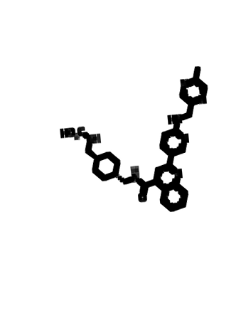 Cc1cnc(CNc2ccc(-c3cc(C(=O)NC[C@H]4CC[C@H](CNC(=O)O)CC4)c4ccccc4n3)cn2)cn1